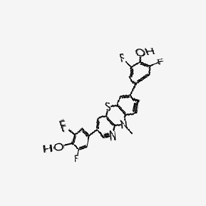 CN1c2ccc(-c3cc(F)c(O)c(F)c3)cc2Sc2cc(-c3cc(F)c(O)c(F)c3)cnc21